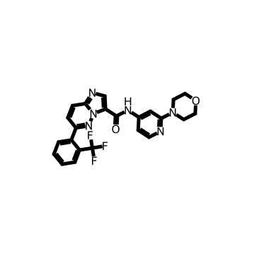 O=C(Nc1ccnc(N2CCOCC2)c1)c1cnc2ccc(-c3ccccc3C(F)(F)F)nn12